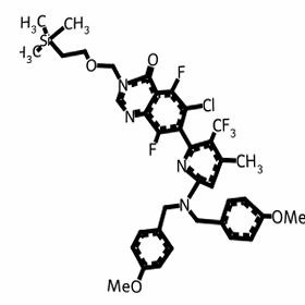 COc1ccc(CN(Cc2ccc(OC)cc2)c2cc(C)c(C(F)(F)F)c(-c3c(Cl)c(F)c4c(=O)n(COCC[Si](C)(C)C)cnc4c3F)n2)cc1